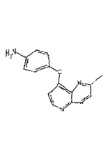 Cc1ccc2nccc(Oc3ccc(N)cc3)c2n1